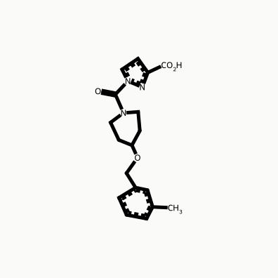 Cc1cccc(COC2CCN(C(=O)n3ccc(C(=O)O)n3)CC2)c1